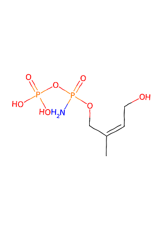 CC(=CCO)COP(N)(=O)OP(=O)(O)O